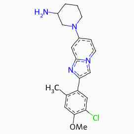 COc1cc(C)c(-c2cn3ccc(N4CCCC(N)C4)cc3n2)cc1Cl